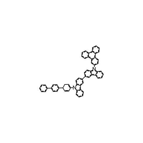 C1=CC(c2ccc(-c3ccccc3)cc2)CC=C1n1c2ccccc2c2cc(-c3ccc4c(c3)c3ccccc3n4-c3ccc4c5ccccc5c5ccccc5c4c3)ccc21